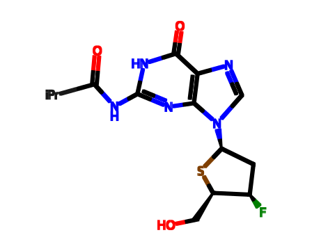 CC(C)C(=O)Nc1nc2c(ncn2[C@H]2C[C@@H](F)[C@@H](CO)S2)c(=O)[nH]1